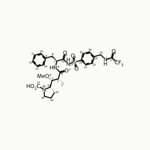 CO[C@H]([C@@H](C)C(=O)N[C@@H](Cc1ccccc1)C(=O)NS(=O)(=O)c1ccc(CNC(=O)C(F)(F)F)cc1)[C@@H]1CCCN1C(=O)O